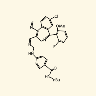 C=NC1=C(/C=N\CNc2ccc(C(=O)NCCCC)cc2)CN=C(c2c(F)cccc2OC)c2cc(Cl)ccc21